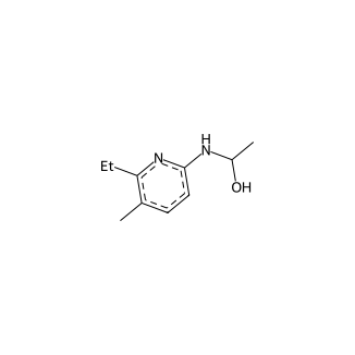 CCc1nc(NC(C)O)ccc1C